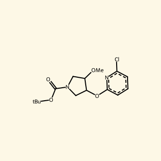 COC1CN(C(=O)OC(C)(C)C)CC1Oc1cccc(Cl)n1